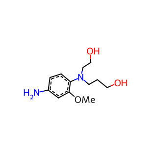 COc1cc(N)ccc1N(CCO)CCCO